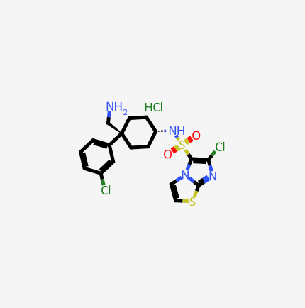 Cl.NC[C@]1(c2cccc(Cl)c2)CC[C@@H](NS(=O)(=O)c2c(Cl)nc3sccn23)CC1